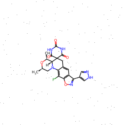 C[C@@H]1CN2c3c(cc4c(-c5cn[nH]c5)noc4c3F)CC3(C(=O)NC(=O)NC3=O)[C@H]2[C@H](C)O1